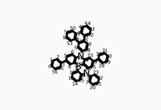 c1ccc(-c2ccc3c(c2)B2c4ccccc4N(c4ccccc4)c4cc(-c5ccccc5)cc(c42)N3c2ccc(-c3ccccc3)c(-c3ccccc3)c2)cc1